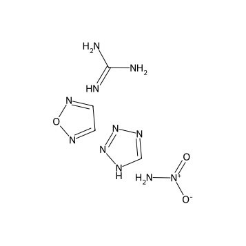 N=C(N)N.N[N+](=O)[O-].c1cnon1.c1nnn[nH]1